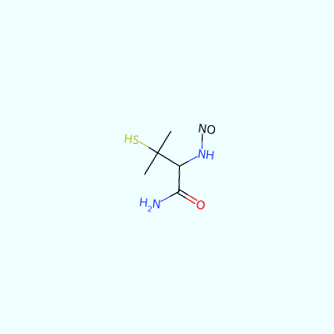 CC(C)(S)C(NN=O)C(N)=O